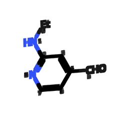 CCNc1cc(C=O)ccn1